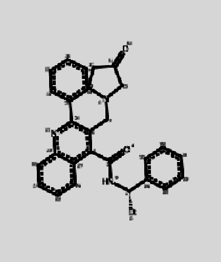 CC[C@H](NC(=O)c1c(CN2CCC(=O)C2)c(-c2ccccc2)nc2ccccc12)c1ccccc1